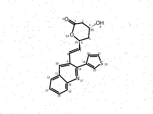 O=C1C[C@H](O)C[C@@H](C=Cc2cc3ccccc3nc2-c2ccsc2)O1